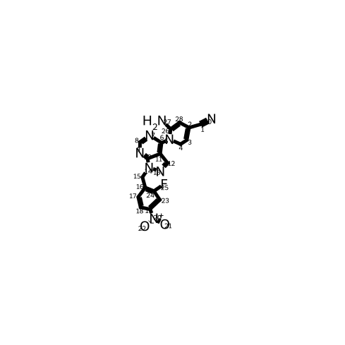 N#CC1=CCN(c2ncnc3c2cnn3Cc2ccc([N+](=O)[O-])cc2F)C(N)=C1